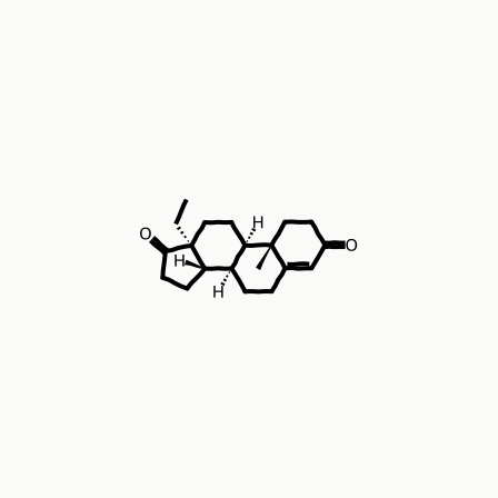 CC[C@]12CC[C@@H]3[C@@H](CCC4=CC(=O)CC[C@]43C)[C@@H]1CCC2=O